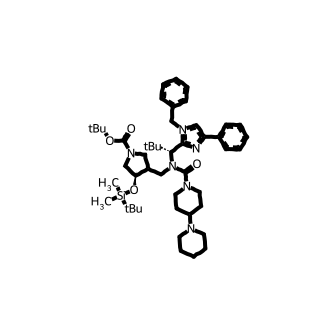 CC(C)(C)OC(=O)N1CC(CN(C(=O)N2CCC(N3CCCCC3)CC2)[C@@H](c2nc(-c3ccccc3)cn2Cc2ccccc2)C(C)(C)C)[C@@H](O[Si](C)(C)C(C)(C)C)C1